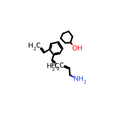 C=CCN.C=Cc1ccccc1C=C.OC1CCCCC1